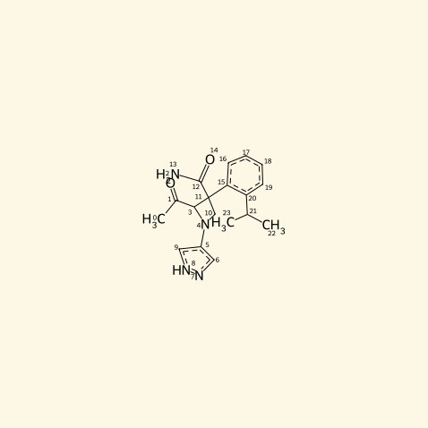 CC(=O)C1N(c2cn[nH]c2)CC1(C(N)=O)c1ccccc1C(C)C